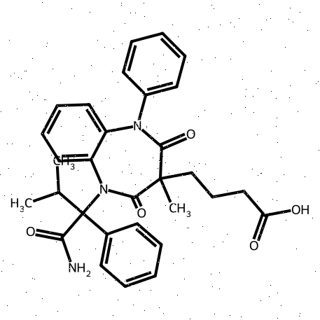 CC(C)C(C(N)=O)(c1ccccc1)N1C(=O)C(C)(CCCC(=O)O)C(=O)N(c2ccccc2)c2ccccc21